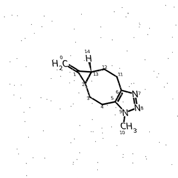 C=C1C2CCc3c(nnn3C)CC[C@@H]12